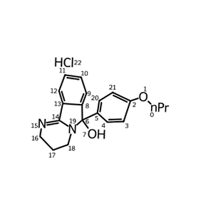 CCCOc1ccc(C2(O)c3ccccc3C3=NCCCN32)cc1.Cl